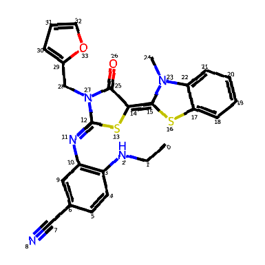 CCNc1ccc(C#N)cc1/N=C1\S/C(=C2\Sc3ccccc3N2C)C(=O)N1Cc1ccco1